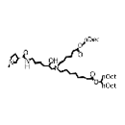 CCCCCCCCCCCOC(=O)CCCCCN(CCCCCCCC(=O)OC(CCCCCCCC)CCCCCCCC)CC(O)CCCCNC(=O)[C@H]1CCN(C)C1